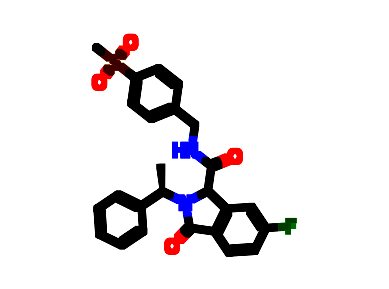 C[C@H](c1ccccc1)N1C(=O)c2ccc(F)cc2C1C(=O)NCc1ccc(S(C)(=O)=O)cc1